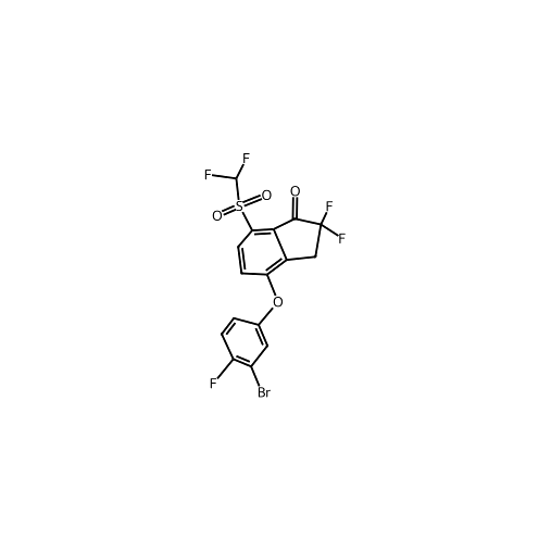 O=C1c2c(S(=O)(=O)C(F)F)ccc(Oc3ccc(F)c(Br)c3)c2CC1(F)F